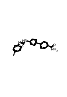 NC(=O)c1ccc(-c2ccc(Nc3nc4ccc(F)cc4s3)cc2)cc1